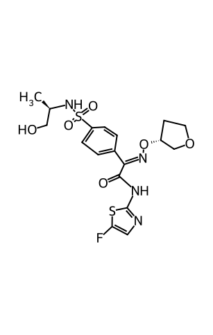 C[C@H](CO)NS(=O)(=O)c1ccc(/C(=N\O[C@@H]2CCOC2)C(=O)Nc2ncc(F)s2)cc1